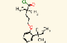 CCC(C)(C)c1ccccc1OCCCC(C)(C)C(=O)Cl